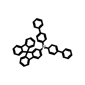 C1=CC(N(c2ccc(-c3ccccc3)cc2)c2ccc3c(c2)C2(c4ccccc4-c4ccccc42)c2ccccc2-3)CC=C1c1ccccc1